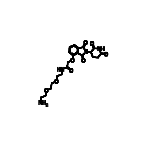 NCCOCCOCCNC(=O)COc1cccc2c1C(=O)N(C1CCC(=O)NC1=O)C2=O